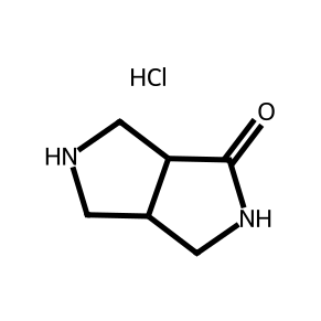 Cl.O=C1NCC2CNCC12